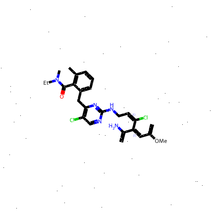 C=C(/C=C(C(=C)N)\C(Cl)=C/CNc1ncc(Cl)c(Cc2cccc(C)c2C(=O)N(C)CC)n1)OC